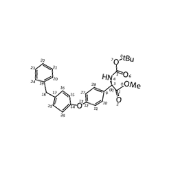 COC(=O)[C@H](NC(=O)OC(C)(C)C)c1ccc(Oc2ccc(Cc3ccccc3)cc2)cc1